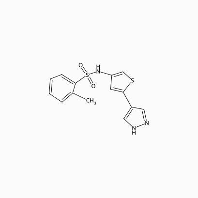 Cc1ccccc1S(=O)(=O)Nc1csc(-c2cn[nH]c2)c1